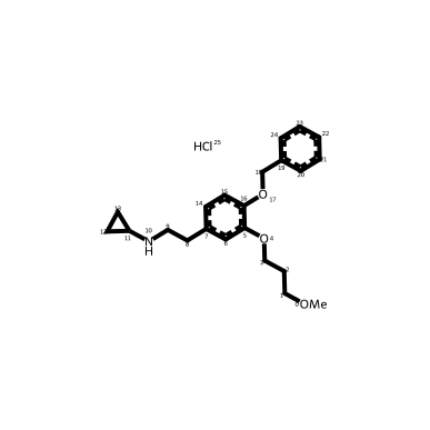 COCCCOc1cc(CCNC2CC2)ccc1OCc1ccccc1.Cl